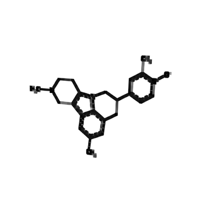 Cc1cc2c3c(c1)c1c(n3CC(c3cc[n+]([O-])c(C)c3)C2)CCN(C)C1